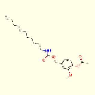 CCCCCCCCCCCCNC(=O)OCc1ccc(OC(C)=O)c(OC)c1